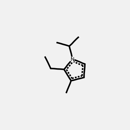 CCc1c(C)ccn1C(C)C